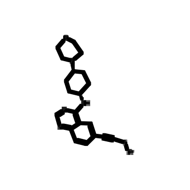 CC(C)SC#Cc1ccc2ncnc(N[C@H]3CC[C@H](N4CCOCC4)CC3)c2c1